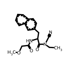 CCN(C#N)C(=O)C(Cc1ccc2ccccc2c1)NC(=O)COC